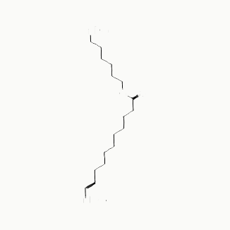 CCCCCCC=CCCCCCCCCC(=O)OCCCCCCCCCCCCCCCC